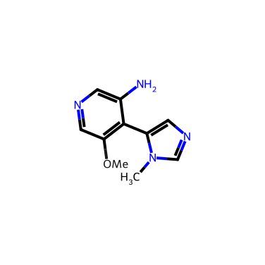 COc1cncc(N)c1-c1cncn1C